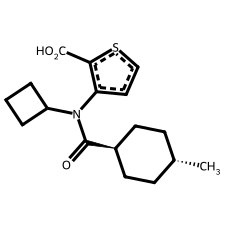 C[C@H]1CC[C@H](C(=O)N(c2ccsc2C(=O)O)C2CCC2)CC1